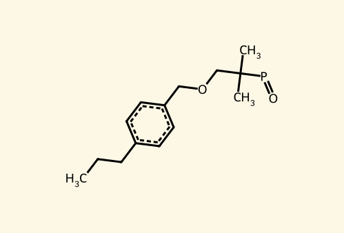 CCCc1ccc(COCC(C)(C)P=O)cc1